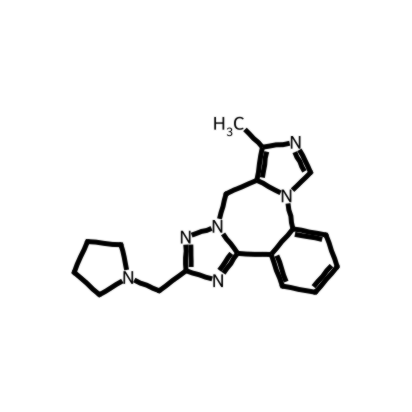 Cc1ncn2c1Cn1nc(CN3CCCC3)nc1-c1ccccc1-2